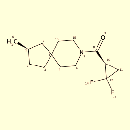 C[C@@H]1CCC2(CCN(C(=O)[C@H]3CC3(F)F)CC2)C1